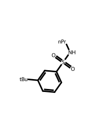 CCCNS(=O)(=O)c1cccc(C(C)(C)C)c1